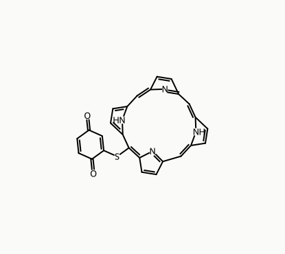 O=C1C=CC(=O)C(Sc2c3nc(cc4ccc(cc5nc(cc6ccc2[nH]6)C=C5)[nH]4)C=C3)=C1